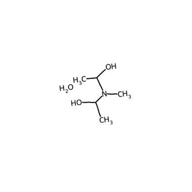 CC(O)N(C)C(C)O.O